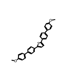 COc1ccc(-c2ccc(-c3ccc(-c4ccc(-c5ccc(OC)cc5)cc4)s3)cc2)cc1